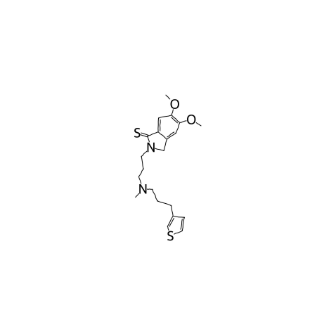 COc1cc2c(cc1OC)C(=S)N(CCCN(C)CCCc1ccsc1)C2